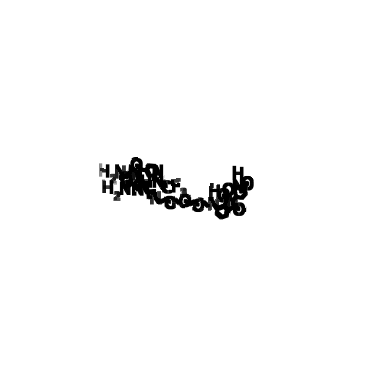 NC(=O)C1=COC(c2ccnc(NCC(F)(F)F)c2)N1c1cn(C2CN(CCOCCOCCOCCNc3cccc4c3C(=O)N(C3CCC(=O)NC3=O)C4=O)C2)nc1C(N)=O